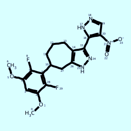 COc1cc(OC)c(F)c(C2CCCc3c(-c4[nH]ncc4[N+](=O)[O-])n[nH]c3C2)c1F